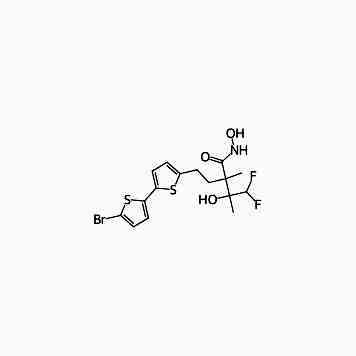 CC(CCc1ccc(-c2ccc(Br)s2)s1)(C(=O)NO)C(C)(O)C(F)F